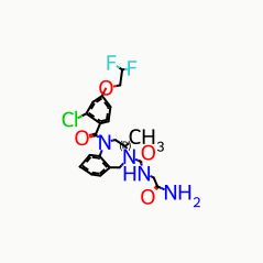 C[C@@H]1CN(C(=O)c2ccc(OCC(F)F)cc2Cl)c2ccccc2CN1C(=O)NCC(N)=O